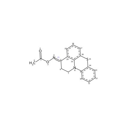 CC(=O)O/N=C1\CCN2c3ccccc3Sc3cccc1c32